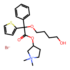 C[N+]1(C)CCC(OC(=O)C(OCCCCO)(c2ccccc2)c2cccs2)C1.[Br-]